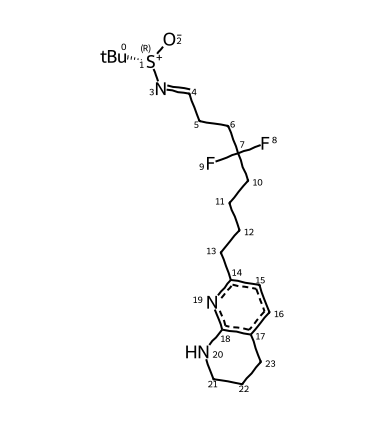 CC(C)(C)[S@+]([O-])N=CCCC(F)(F)CCCCc1ccc2c(n1)NCCC2